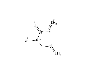 C=CCN(C(=O)C=C)C(C)C